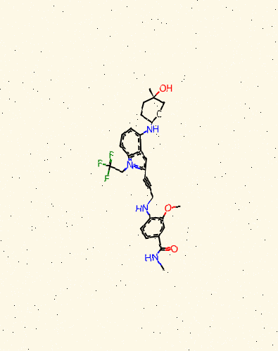 CNC(=O)c1ccc(NCC#Cc2cc3c(N[C@H]4CC[C@@](C)(O)CC4)cccc3n2CC(F)(F)F)c(OC)c1